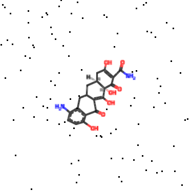 NC(=O)C1=C(O)C[C@@H]2CC3Cc4c(N)ccc(O)c4C(=O)C3=C(O)[C@]2(O)C1=O